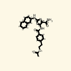 CC(=O)OCCc1ccc(C(=O)Nc2sc(Nc3ccc4ccccc4c3)nc2C(N)=O)cc1